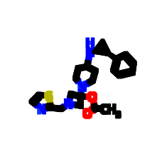 CC(=O)OC1(N2CCC(N[C@@H]3C[C@H]3c3ccccc3)CC2)CN(Cc2nccs2)C1